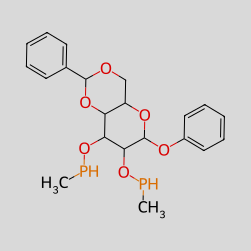 CPOC1C(Oc2ccccc2)OC2COC(c3ccccc3)OC2C1OPC